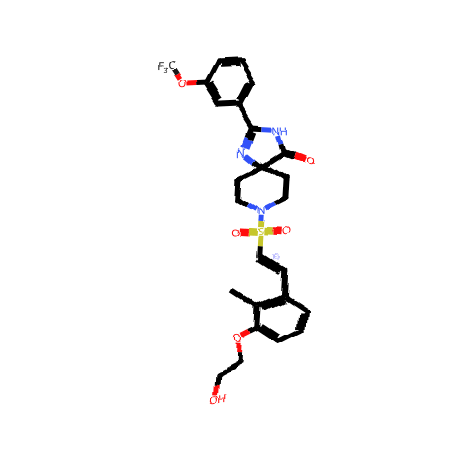 Cc1c(/C=C/S(=O)(=O)N2CCC3(CC2)N=C(c2cccc(OC(F)(F)F)c2)NC3=O)cccc1OCCO